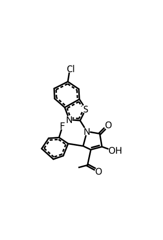 CC(=O)C1=C(O)C(=O)N(c2nc3ccc(Cl)cc3s2)C1c1ccccc1F